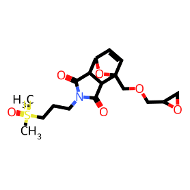 C[SH](C)(=O)CCCN1C(=O)C2C3C=CC(COCC4CO4)(O3)C2C1=O